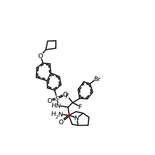 NC1CC2CCC(C1)N2C(=O)C(NS(=O)(=O)c1ccc2cc(OC3CCC3)ccc2c1)C(F)(F)c1ccc(Br)cc1